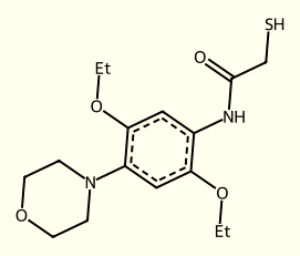 CCOc1cc(N2CCOCC2)c(OCC)cc1NC(=O)CS